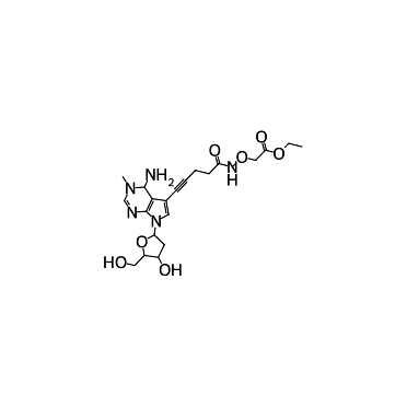 CCOC(=O)CONC(=O)CCC#Cc1cn(C2CC(O)C(CO)O2)c2c1C(N)N(C)C=N2